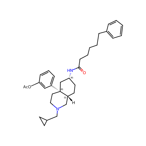 CC(=O)Oc1cccc([C@@]23CCN(CC4CC4)C[C@H]2CC[C@@H](NC(=O)CCCCCc2ccccc2)C3)c1